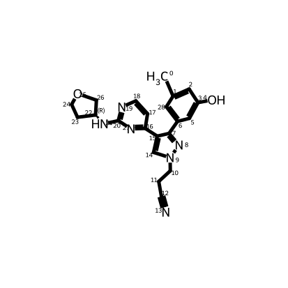 Cc1cc(O)cc(-c2nn(CCC#N)cc2-c2ccnc(N[C@@H]3CCOC3)n2)c1